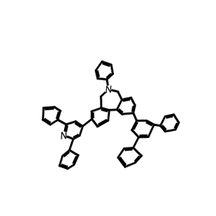 c1ccc(-c2cc(-c3ccccc3)cc(-c3ccc4c(c3)-c3ccc(-c5cc(-c6ccccc6)nc(-c6ccccc6)c5)cc3CN(c3ccccc3)C4)c2)cc1